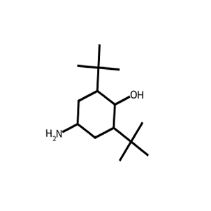 CC(C)(C)C1CC(N)CC(C(C)(C)C)C1O